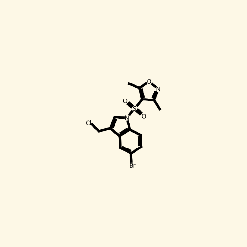 Cc1noc(C)c1S(=O)(=O)n1cc(CCl)c2cc(Br)ccc21